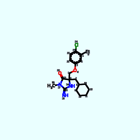 CCc1cc(OCC2(CC3CCCCC3)NC(=N)N(C)C2=O)ccc1Cl